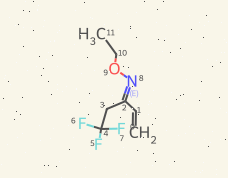 C=C/C(CC(F)(F)F)=N/OCC